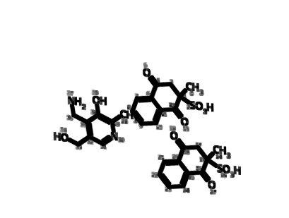 CC1(S(=O)(=O)O)CC(=O)c2ccccc2C1=O.CC1(S(=O)(=O)O)CC(=O)c2ccccc2C1=O.Cc1ncc(CO)c(CN)c1O